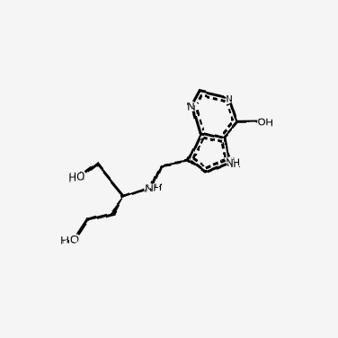 OCC[C@@H](CO)NCc1c[nH]c2c(O)ncnc12